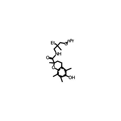 CCCOCC(C)(CC)CNC(=O)C1(C)CCc2c(C)c(O)c(C)c(C)c2O1